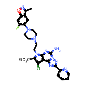 CCOC(=O)c1c(Cl)c2c(nc(N)n3nc(-c4ccccn4)nc23)n1CCN1CCN(c2cc3c(C)noc3cc2F)CC1